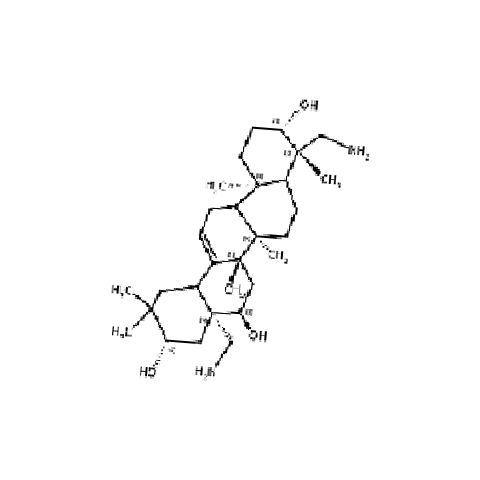 CC1(C)CC2C3=CCC4[C@@]5(C)CC[C@H](O)[C@](C)(CN)C5CC[C@@]4(C)[C@]3(C)C[C@@H](O)[C@@]2(CN)C[C@@H]1O